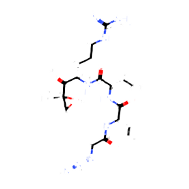 CC(C)C[C@H](NC(=O)CN=[N+]=[N-])C(=O)N[C@@H](CC(C)C)C(=O)N[C@@H](CCCNC(=N)N)C(=O)[C@@]1(C)CO1